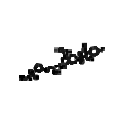 CNS(=O)(=O)c1cccc(OCC(O)CN[C@H]2COC3(CCN(S(=O)(=O)c4cnc5cc(F)ccc5c4O)CC3)C2)c1.Cl.Cl